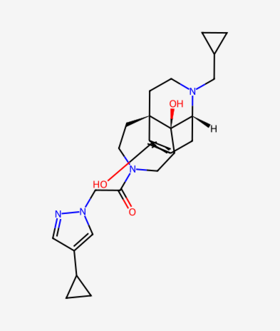 O=C(Cn1cc(C2CC2)cn1)N1CC[C@]23CCN(CC4CC4)[C@H](Cc4ccc(O)cc42)[C@]3(O)CC1